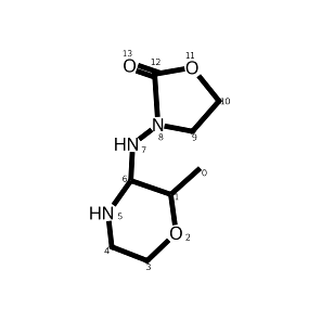 CC1OCCNC1NN1CCOC1=O